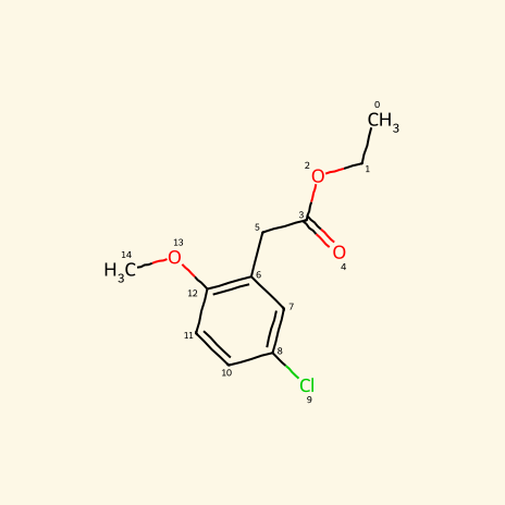 CCOC(=O)Cc1cc(Cl)ccc1OC